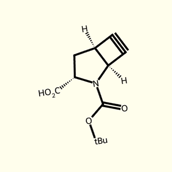 CC(C)(C)OC(=O)N1[C@@H]2C#C[C@@H]2C[C@H]1C(=O)O